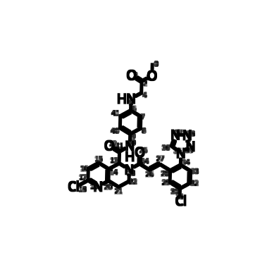 COC(=O)CNc1ccc(NC(=O)C2c3ccc(Cl)nc3CCN2C(=O)/C=C/c2cc(Cl)ccc2-n2cnnn2)cc1